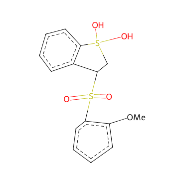 COc1ccccc1S(=O)(=O)C1CS(O)(O)c2ccccc21